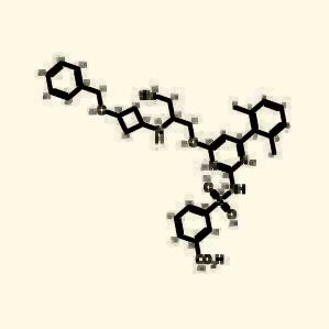 Cc1cccc(C)c1-c1cc(OCC(CC(C)(C)C)NC2CC(OCc3ccccc3)C2)nc(NS(=O)(=O)c2cccc(C(=O)O)c2)n1